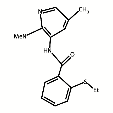 CCSc1ccccc1C(=O)Nc1cc(C)cnc1NC